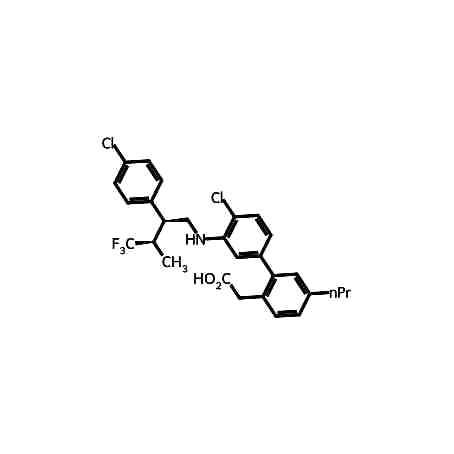 CCCc1ccc(CC(=O)O)c(-c2ccc(Cl)c(NC[C@H](c3ccc(Cl)cc3)[C@@H](C)C(F)(F)F)c2)c1